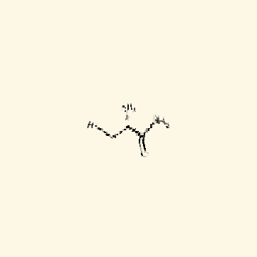 BC(=O)[C@@H](N)CS